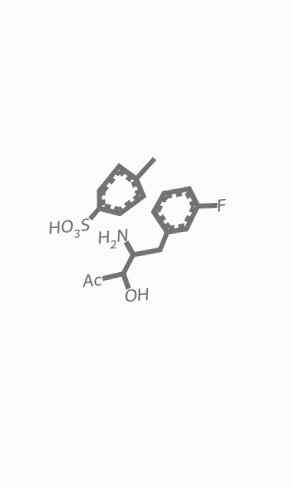 CC(=O)C(O)C(N)Cc1cccc(F)c1.Cc1ccc(S(=O)(=O)O)cc1